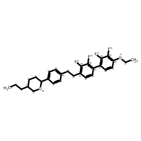 CCCC1CCC(c2ccc(CCc3ccc(-c4ccc(OCC)c(F)c4F)c(F)c3F)cc2)OC1